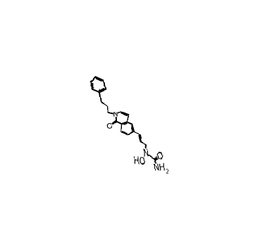 NC(=O)N(O)C/C=C/c1ccc2c(=O)n(CCCc3ccccc3)ccc2c1